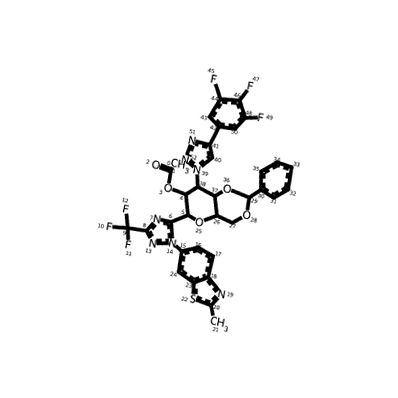 CC(=O)OC1C(c2nc(C(F)(F)F)nn2-c2ccc3nc(C)sc3c2)OC2COC(c3ccccc3)OC2C1n1cc(-c2cc(F)c(F)c(F)c2)nn1